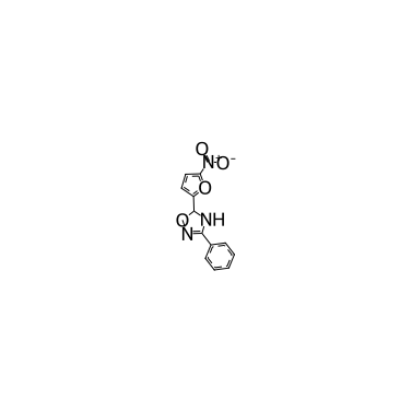 O=[N+]([O-])c1ccc(C2NC(c3ccccc3)=NO2)o1